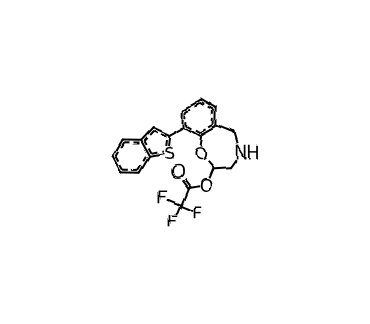 O=C(OC1CNCc2cccc(-c3cc4ccccc4s3)c2O1)C(F)(F)F